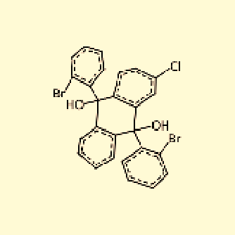 OC1(c2ccccc2Br)c2ccccc2C(O)(c2ccccc2Br)c2cc(Cl)ccc21